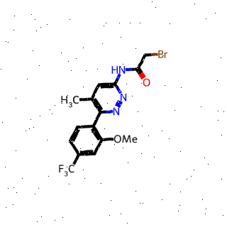 COc1cc(C(F)(F)F)ccc1-c1nnc(NC(=O)CBr)cc1C